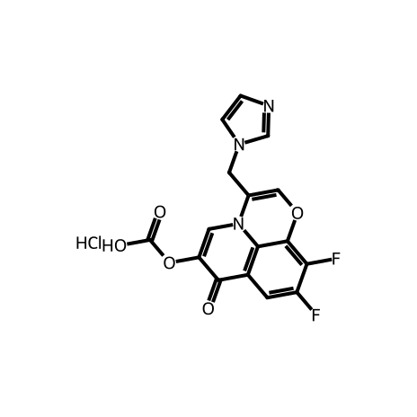 Cl.O=C(O)Oc1cn2c3c(c(F)c(F)cc3c1=O)OC=C2Cn1ccnc1